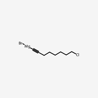 ClCCCCCCC#[C][Mg][Br]